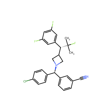 CC(C)(F)[C@@H](c1cc(F)cc(F)c1)C1CN([C@H](c2ccc(Cl)cc2)c2cccc(C#N)c2)C1